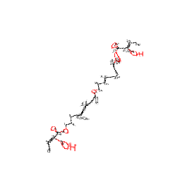 CC=C(O)C(=O)OCCCCCCOCCCCCCOC(=O)C(O)=CC